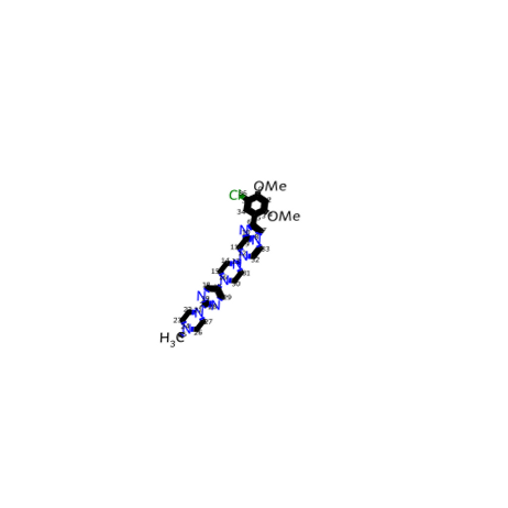 COc1cc(OC)c(-c2cn3c(n2)CN(N2CCN(c4cnc(N5CCN(C)CC5)nc4)CC2)C=C3)cc1Cl